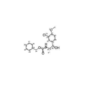 COc1ccc([C@@H](O)[C@H](C)NC(=O)OCc2ccccc2)cc1Cl